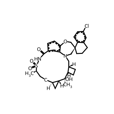 C[C@@H]1CC[C@@H]2C[C@H]2[C@](C)(O)[C@@H]2CC[C@H]2CN2C[C@@]3(CCCc4cc(Cl)ccc43)COc3ccc(cc32)C(=O)NS1(=O)=O